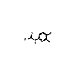 Cc1nc(NC(=O)C(C)C)ccc1F